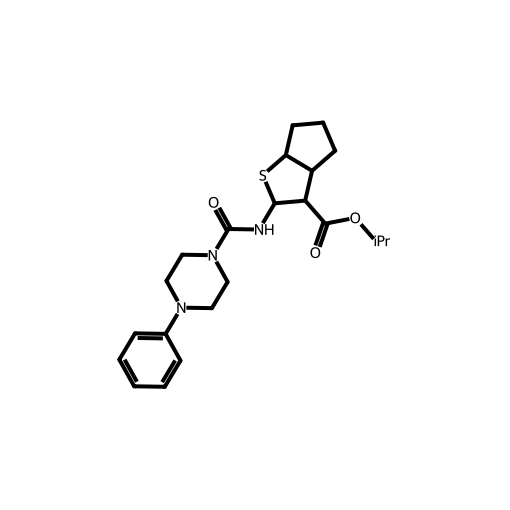 CC(C)OC(=O)C1C(NC(=O)N2CCN(c3ccccc3)CC2)SC2CCCC21